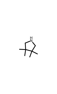 CC1(C)CNCC1(C)C